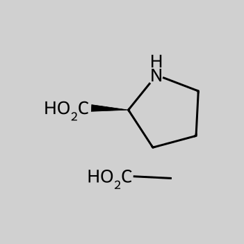 CC(=O)O.O=C(O)[C@@H]1CCCN1